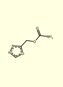 NC(=O)OCc1nnco1